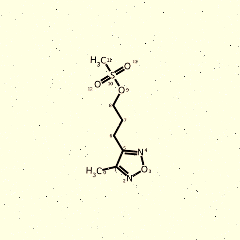 Cc1nonc1CCCOS(C)(=O)=O